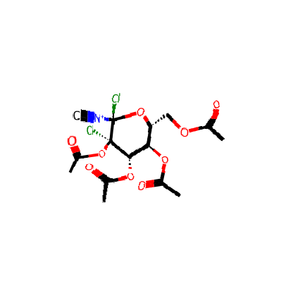 [C-]#[N+][C@]1(Cl)O[C@H](COC(C)=O)[C@@H](OC(C)=O)[C@H](OC(C)=O)[C@@]1(Cl)OC(C)=O